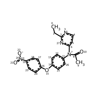 CCc1nccc(N(C(C)=O)c2ccc(Oc3ccc([N+](=O)[O-])cc3)cc2)n1